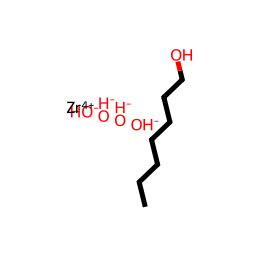 CCCCCCCO.[OH-].[OH-].[OH-].[OH-].[Zr+4]